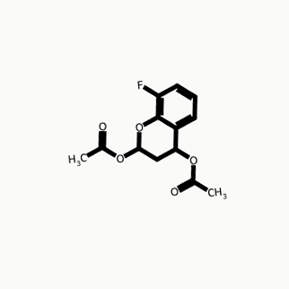 CC(=O)OC1CC(OC(C)=O)c2cccc(F)c2O1